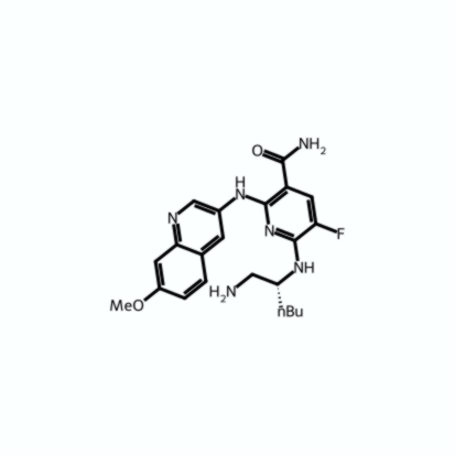 CCCC[C@H](CN)Nc1nc(Nc2cnc3cc(OC)ccc3c2)c(C(N)=O)cc1F